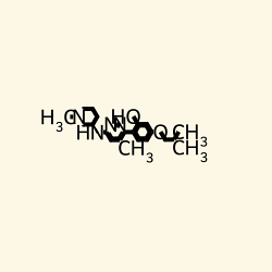 Cc1cc(N[C@@H]2CCCN(C)C2)nnc1-c1ccc(OCC(C)C)cc1O